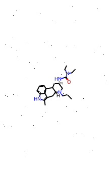 CCCN1C[C@@H](NC(=O)N(CC)CC)CC2c3cccc4[nH]c(C)c(c34)C[C@H]21